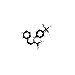 O=C(O)C(/C=C\c1ccccc1)Oc1ccc(C(F)(F)F)cc1